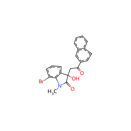 CN1C(=O)C(O)(CC(=O)c2ccc3ccccc3c2)c2cccc(Br)c21